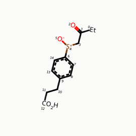 CCC(=O)C[S+]([O-])c1ccc(CCC(=O)O)cc1